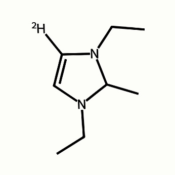 [2H]C1=CN(CC)C(C)N1CC